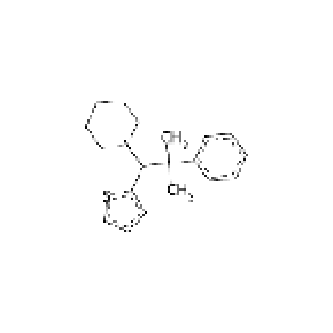 CC(C)(c1ccccc1)C(c1cccs1)N1CCCCC1